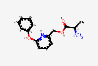 CC(C)C(N)C(=O)OCc1cccc(Oc2ccccc2)n1